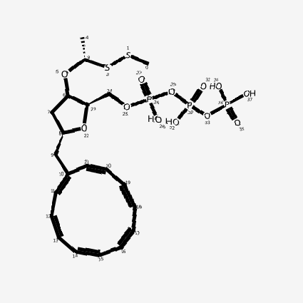 CSS[C@@H](C)OC1C[C@H](CC2=C/C=C\C=C/C=C\C=C/C=C\2)O[C@@H]1COP(=O)(O)OP(=O)(O)OP(=O)(O)O